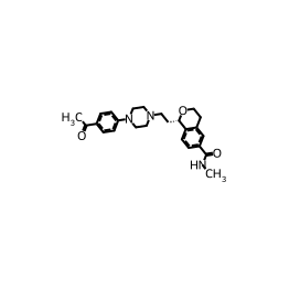 CNC(=O)c1ccc2c(c1)CCO[C@H]2CCN1CCN(c2ccc(C(C)=O)cc2)CC1